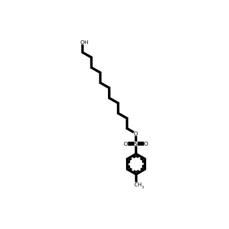 Cc1ccc(S(=O)(=O)OCCCCCCCCCCCO)cc1